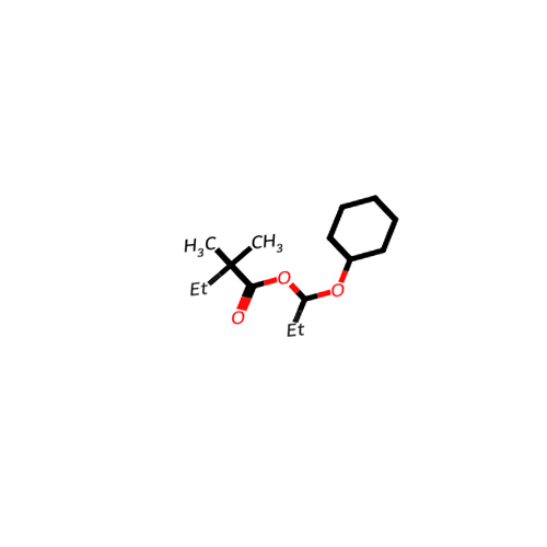 CCC(OC(=O)C(C)(C)CC)OC1CCCCC1